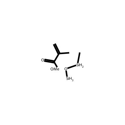 C=C(C)C(=O)OC.C[SiH2]O[SiH3]